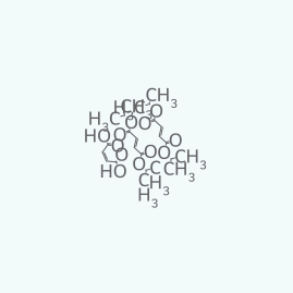 CC(C)OC(=O)/C=C/C(=O)OC(C)C.CC(C)OC(=O)/C=C/C(=O)OC(C)C.O=C(O)/C=C\C(=O)O